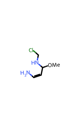 COC(/C=C\N)NCCl